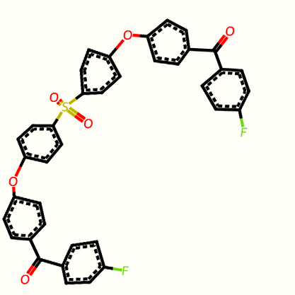 O=C(c1ccc(F)cc1)c1ccc(Oc2ccc(S(=O)(=O)c3ccc(Oc4ccc(C(=O)c5ccc(F)cc5)cc4)cc3)cc2)cc1